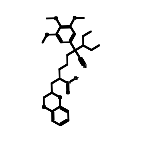 CCC(CC)C(C#N)(CCCC(CC1COc2ccccc2O1)[N+](=O)[O-])c1cc(OC)c(OC)c(OC)c1